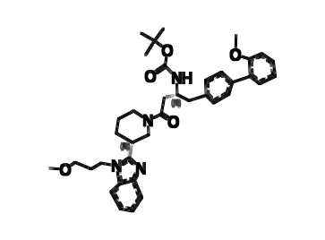 COCCCn1c([C@@H]2CCCN(C(=O)C[C@@H](Cc3ccc(-c4ccccc4OC)cc3)NC(=O)OC(C)(C)C)C2)nc2ccccc21